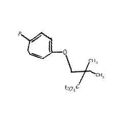 CCOC(=O)C(C)(C)COc1ccc(F)cc1